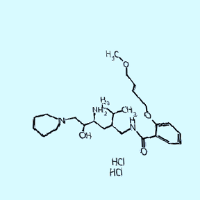 COCCCCOc1ccccc1C(=O)NC[C@@H](C[C@H](N)[C@@H](O)CN1CCCCC1)C(C)C.Cl.Cl